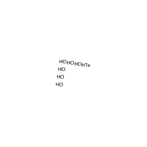 Cl.Cl.Cl.Cl.Cl.Cl.[TeH]